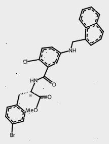 COC(=O)[C@H](Cc1ccc(Br)cc1)NC(=O)c1cc(NCc2cccc3ccccc23)ccc1Cl